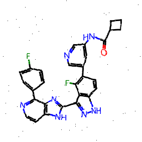 O=C(Nc1cncc(-c2ccc3[nH]nc(-c4nc5c(-c6ccc(F)cc6)nccc5[nH]4)c3c2F)c1)C1CCC1